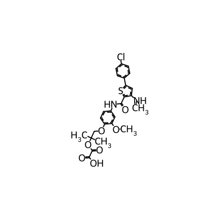 CNc1cc(-c2ccc(Cl)cc2)sc1C(=O)Nc1ccc(OCC(C)(C)OC(=O)C(=O)O)c(OC)c1